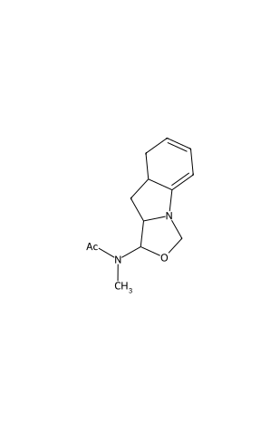 CC(=O)N(C)C1OCN2C3=CC=CCC3CC12